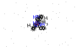 CC(NC(Cc1ccc2ccccc2c1)C(=O)N(C)Cc1ccccc1)N[C@H](CC(=O)O)Cc1c[nH]c2ccccc12